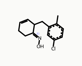 Cc1ccc(Cl)cc1CC1C=CCC/C1=N\O